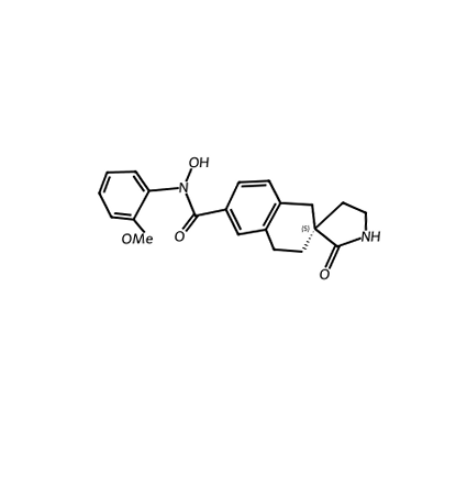 COc1ccccc1N(O)C(=O)c1ccc2c(c1)CC[C@@]1(CCNC1=O)C2